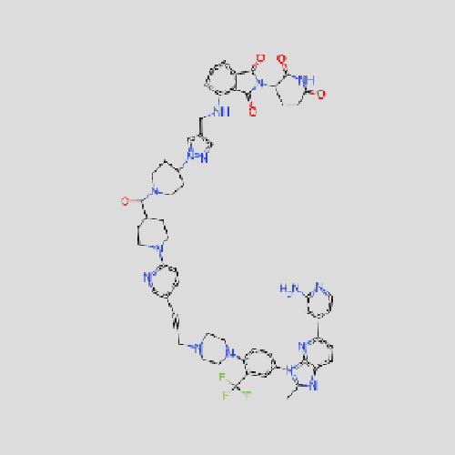 Cc1nc2ccc(-c3ccnc(N)c3)nc2n1-c1ccc(N2CCN(CC#Cc3ccc(N4CCC(C(=O)N5CCC(n6cc(CNc7cccc8c7C(=O)N(C7CCC(=O)NC7=O)C8=O)cn6)CC5)CC4)nc3)CC2)c(C(F)(F)F)c1